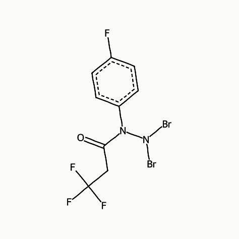 O=C(CC(F)(F)F)N(c1ccc(F)cc1)N(Br)Br